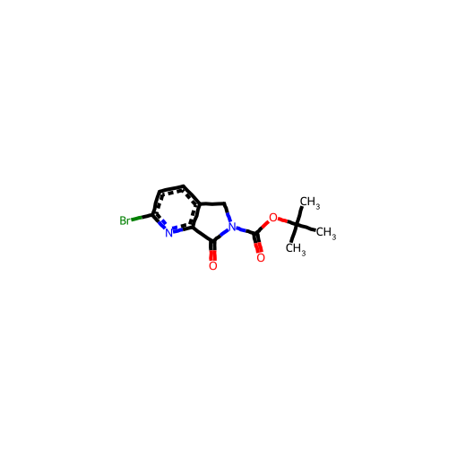 CC(C)(C)OC(=O)N1Cc2ccc(Br)nc2C1=O